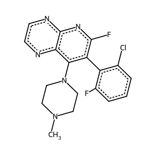 CN1CCN(c2c(-c3c(F)cccc3Cl)c(F)nc3nccnc23)CC1